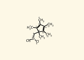 CC1=C(C)C(C)([CH2][Zr]([Cl])[Cl])C(C)=C1C